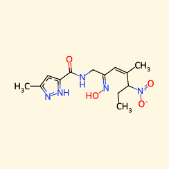 CCC(C(C)=CC(CNC(=O)c1cc(C)n[nH]1)=NO)[N+](=O)[O-]